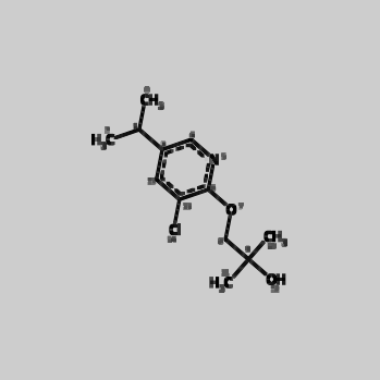 CC(C)c1cnc(OCC(C)(C)O)c(Cl)c1